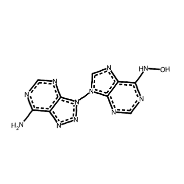 Nc1ncnc2c1nnn2-n1cnc2c(NO)ncnc21